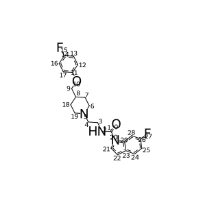 O=C(NCCN1CCC(COc2ccc(F)cc2)CC1)n1ccc2ccc(F)cc21